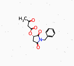 CC(=O)CC(=O)O[C@H]1CC(=O)N(Cc2ccccc2)C1=O